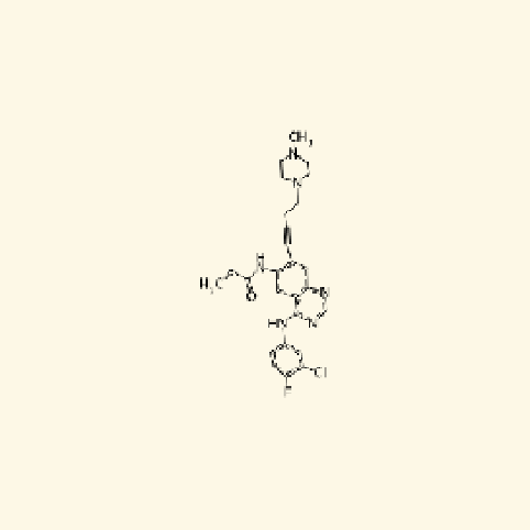 C=CC(=O)Nc1cc2c(Nc3ccc(F)c(Cl)c3)ncnc2cc1C#CCCN1CCN(C)CC1